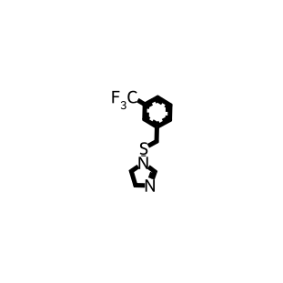 FC(F)(F)c1cccc(CSN2C=NCC2)c1